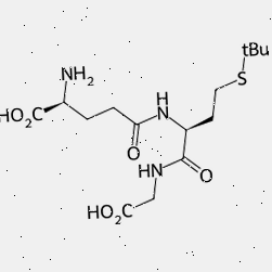 CC(C)(C)SCC[C@H](NC(=O)CC[C@H](N)C(=O)O)C(=O)NCC(=O)O